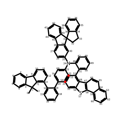 CC1(C)c2ccccc2-c2cccc(-c3ccccc3-c3ccc(N(c4ccc5c(c4)C4(CCc6ccccc64)c4ccccc4-5)c4ccccc4-c4cccc5sc6c7ccccc7ccc6c45)cc3)c21